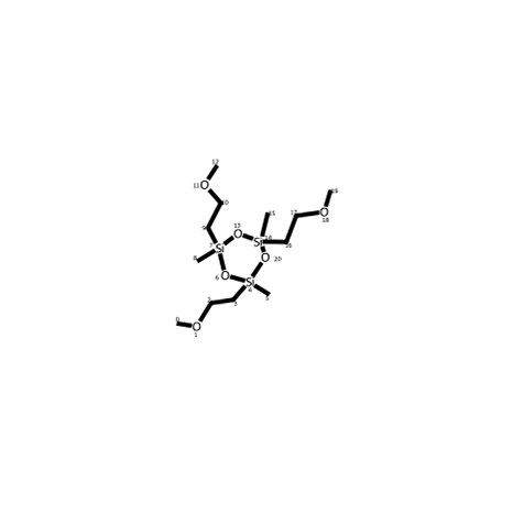 COCC[Si]1(C)O[Si](C)(CCOC)O[Si](C)(CCOC)O1